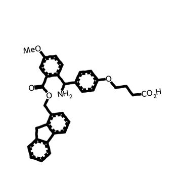 COc1ccc(C(N)c2ccc(OCCCC(=O)O)cc2)c(C(=O)OCc2cccc3c2Cc2ccccc2-3)c1